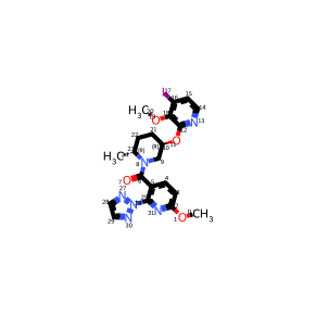 COc1ccc(C(=O)N2C[C@H](Oc3nccc(I)c3OC)CC[C@H]2C)c(-n2nccn2)n1